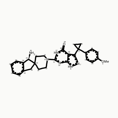 COc1ccc(C2(c3n[nH]c4nc(N5CCC6(CC5)Cc5ccccc5[C@H]6N)[nH]c(=O)c34)CC2)cc1